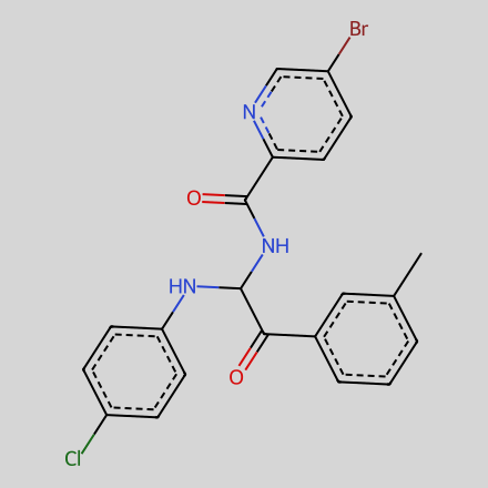 Cc1cccc(C(=O)C(NC(=O)c2ccc(Br)cn2)Nc2ccc(Cl)cc2)c1